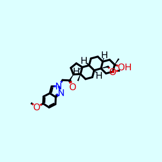 COC[C@]12CC[C@@](C)(O)C[C@@H]1CC[C@H]1[C@@H]3CC[C@H](C(=O)Cn4cc5cc(OC)ccc5n4)[C@@]3(C)CC[C@@H]12